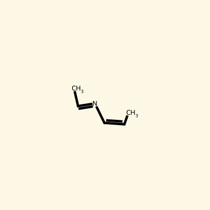 C/C=C\N=C\C